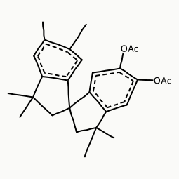 CC(=O)Oc1cc2c(cc1OC(C)=O)C1(CC(C)(C)c3cc(C)c(C)cc31)CC2(C)C